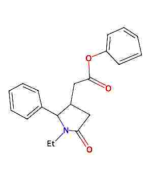 CCN1C(=O)CC(CC(=O)Oc2ccccc2)C1c1ccccc1